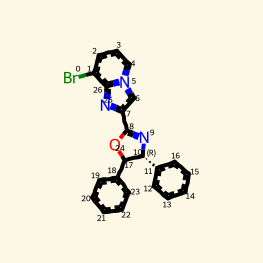 Brc1cccn2cc(C3=N[C@H](c4ccccc4)C(c4ccccc4)O3)nc12